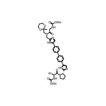 COC(=O)NCC(=O)N(Cc1ncc(-c2ccc(-c3ccc(-c4cnc([C@@H]5CCCN5C(=O)C(NC(=O)OC)C(C)C)[nH]4)cc3)cc2)[nH]1)CC1(C)OCCCO1